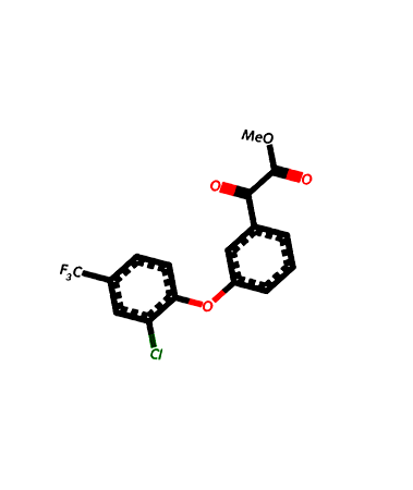 COC(=O)C(=O)c1cccc(Oc2ccc(C(F)(F)F)cc2Cl)c1